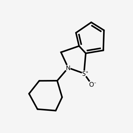 [O-][S+]1c2ccccc2CN1C1CCCCC1